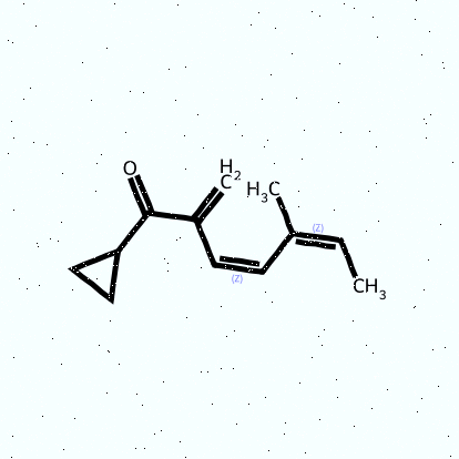 C=C(/C=C\C(C)=C/C)C(=O)C1CC1